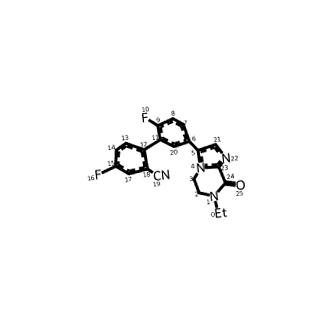 CCN1CCn2c(-c3ccc(F)c(-c4ccc(F)cc4C#N)c3)cnc2C1=O